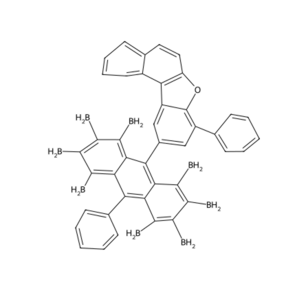 Bc1c(B)c(B)c2c(-c3cc(-c4ccccc4)c4oc5ccc6ccccc6c5c4c3)c3c(B)c(B)c(B)c(B)c3c(-c3ccccc3)c2c1B